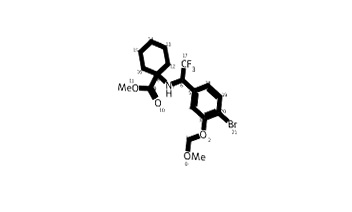 COCOc1cc(C(NC2(C(=O)OC)CCCCC2)C(F)(F)F)ccc1Br